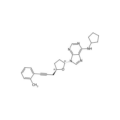 Cc1ccccc1C#CC[C@H]1CC[C@H](n2cnc3c(NC4CCCC4)ncnc32)O1